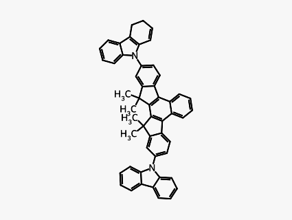 CC1(C)c2cc(-n3c4c(c5ccccc53)CCC=C4)ccc2-c2c1c1c(c3ccccc23)-c2ccc(-n3c4ccccc4c4ccccc43)cc2C1(C)C